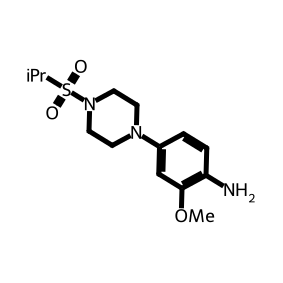 COc1cc(N2CCN(S(=O)(=O)C(C)C)CC2)ccc1N